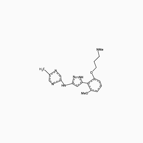 CNCCCOc1cccc(OC)c1-c1cc(Nc2cnc(C)cn2)n[nH]1